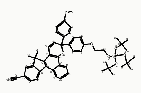 COc1ccc(C2(c3ccc(OCCO[Si](OC(C)(C)C)(OC(C)(C)C)OC(C)(C)C)cc3)C=Cc3c4c(c5ccccc5c3O2)-c2ccc(C#N)cc2C4(C)C)cc1